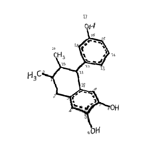 CC1Cc2cc(O)c(O)cc2C(c2cccc(O)c2)C1C